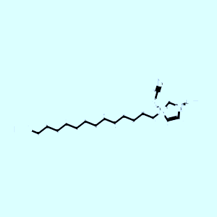 CCCCCCCCCCCCCC[N+]1(SC#N)C=CN(C)C1